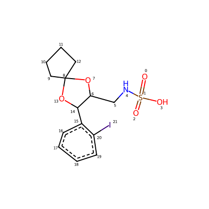 O=S(=O)(O)NCC1OC2(CCCC2)OC1c1ccccc1I